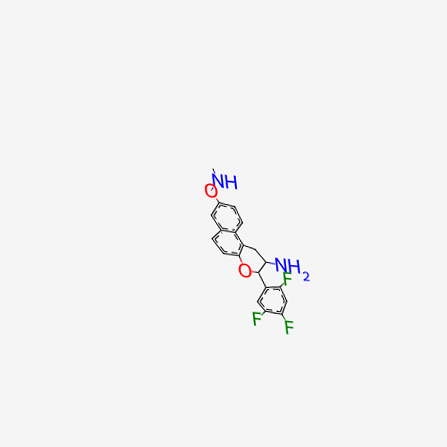 CNOc1ccc2c3c(ccc2c1)OC(c1cc(F)c(F)cc1F)C(N)C3